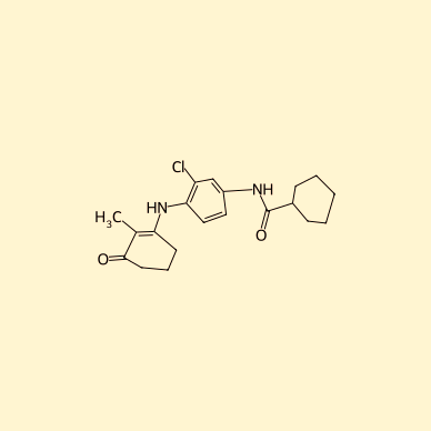 CC1=C(Nc2ccc(NC(=O)C3CCCCC3)cc2Cl)CCCC1=O